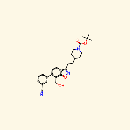 CC(C)(C)OC(=O)N1CCC(CCc2noc3c(CO)c(-c4cccc(C#N)c4)ccc23)CC1